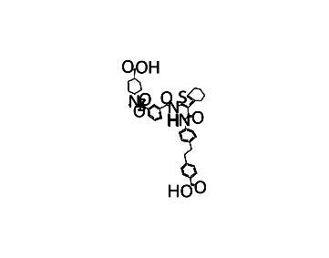 CN([C@H]1CC[C@H](C(=O)O)CC1)S(=O)(=O)c1cccc(C(=O)Nc2sc3c(c2C(=O)Nc2ccc(CCc4ccc(C(=O)O)cc4)cc2)CCCC3)c1